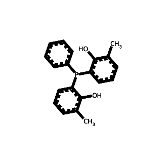 Cc1cccc(P(c2ccccc2)c2cccc(C)c2O)c1O